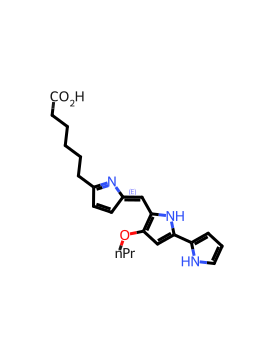 CCCOc1cc(-c2ccc[nH]2)[nH]c1/C=C1\C=CC(CCCCCC(=O)O)=N1